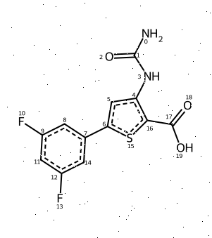 NC(=O)Nc1cc(-c2cc(F)cc(F)c2)sc1C(=O)O